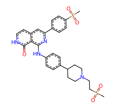 CS(=O)(=O)CCN1CCC(c2ccc(Nc3nc(-c4ccc(S(C)(=O)=O)cc4)cc4cc[nH]c(=O)c34)cc2)CC1